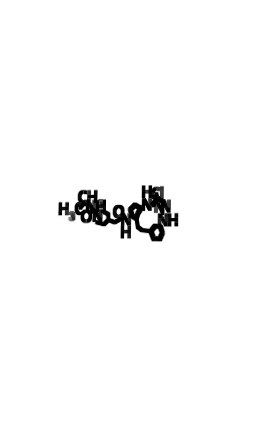 CC(C)NC(=O)N1CCC(CC(=O)Nc2ccc3cc2CCc2cccc(c2)Nc2ncc(Cl)c(n2)N3)CC1